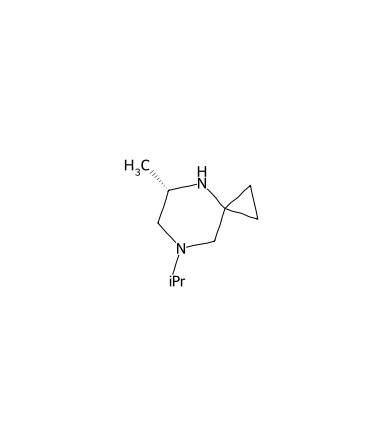 CC(C)N1C[C@H](C)NC2(CC2)C1